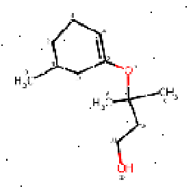 CC1CCC=C(OC(C)(C)CCO)C1